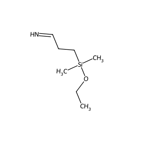 CCO[Si](C)(C)CCC=N